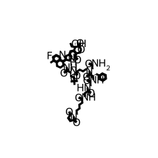 CC[C@@]1(O)C(=O)OCc2c1cc1n(c2=O)Cc2c-1nc1cc(F)c(C)c3c1c2[C@@H](NC(=O)[C@H](COC(C)(C)C)NC(=O)CCCN(CC(N)=O)C(=O)[C@H](Cc1ccccc1)NC(=O)CNC(=O)CNC(=O)CCCCCN1C(=O)C=CC1=O)CC3